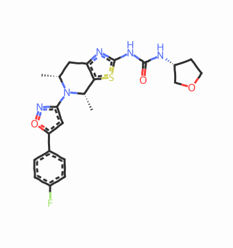 C[C@@H]1Cc2nc(NC(=O)N[C@@H]3CCOC3)sc2[C@H](C)N1c1cc(-c2ccc(F)cc2)on1